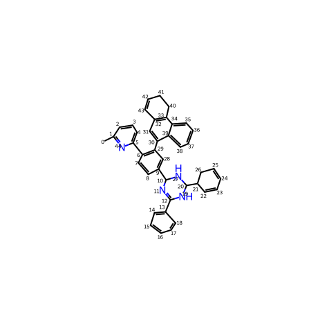 Cc1cccc(-c2ccc(C3N=C(c4ccccc4)NC(C4C=CC=CC4)N3)cc2-c2cc3c(c4ccccc24)CCC=C3)n1